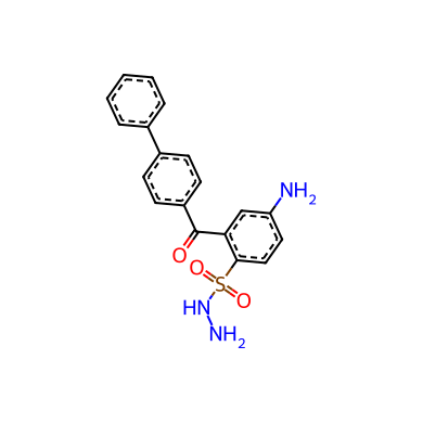 NNS(=O)(=O)c1ccc(N)cc1C(=O)c1ccc(-c2ccccc2)cc1